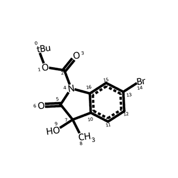 CC(C)(C)OC(=O)N1C(=O)C(C)(O)c2ccc(Br)cc21